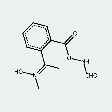 CC(c1ccccc1C(=O)ONC=O)=[N+](C)O